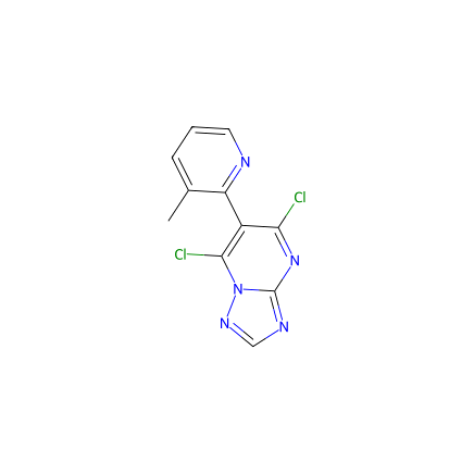 Cc1cccnc1-c1c(Cl)nc2ncnn2c1Cl